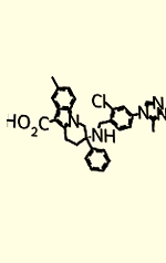 Cc1ccc2c(c1)c(C(=O)O)c1n2C[C@@](NCc2ccc(-n3cnnc3C)cc2Cl)(c2ccccc2)CC1